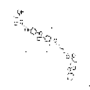 C=C(CO)C(=O)OCCOc1ccc(OC(=O)c2ccc(OCCCCCCOC(=O)C(=C)CC(=O)OC3CCCCC3)cc2)cc1